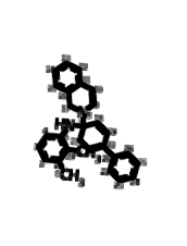 Cc1cccc(NC2(N3C=Cc4ccccc4C3)C=CC(c3ccccc3)=CC2)c1C